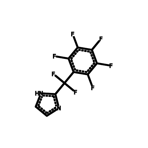 Fc1c(F)c(F)c(C(F)(F)c2ncc[nH]2)c(F)c1F